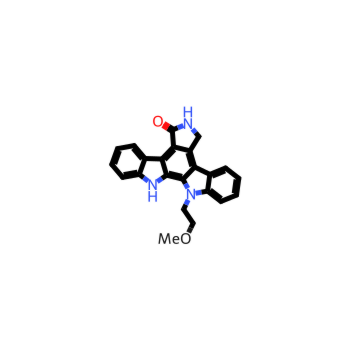 COCCn1c2ccccc2c2c3c(c4c5ccccc5[nH]c4c21)C(=O)NC3